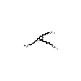 CCCCCCCCC(CCCCCCCC)NC(=O)CCCCCCC